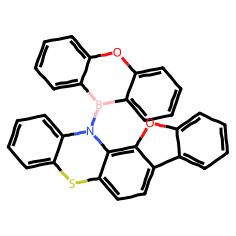 c1ccc2c(c1)Oc1ccccc1B2N1c2ccccc2Sc2ccc3c(oc4ccccc43)c21